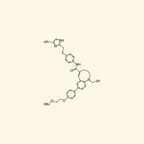 CCCCOCCOc1ccc(-c2ccc3c(c2)/C=C(/C(=O)Nc2ccc(SCc4nc(CCC)c[nH]4)cc2)CCCN3CC(C)C)cc1